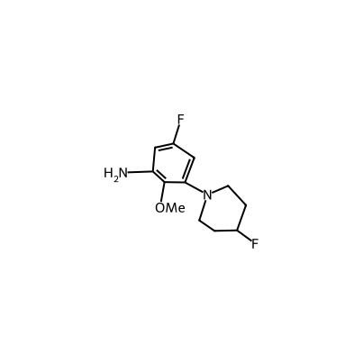 COc1c(N)cc(F)cc1N1CCC(F)CC1